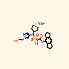 COCCn1cc(N(C2CCOCC2)S(=O)(=O)NC(=O)Nc2c3c(cc4c2CCC4)CCC3)cn1.[NaH]